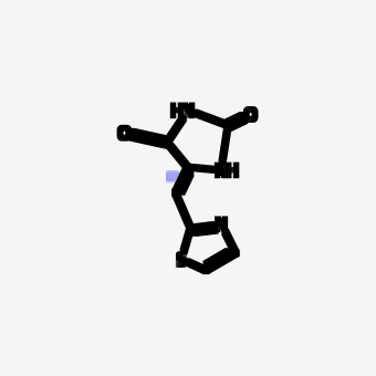 O=C1NC(=O)/C(=C/c2nccs2)N1